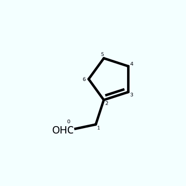 O=CCC1=CCCC1